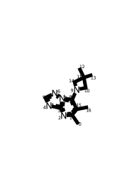 Cc1nc2ncnn2c(N2CC(C)(C)C2)c1C